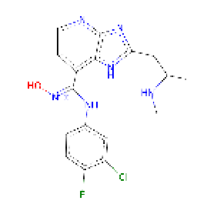 CNC(C)Cc1nc2nccc(/C(=N\O)Nc3ccc(F)c(Cl)c3)c2[nH]1